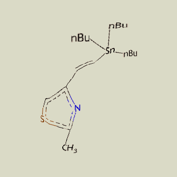 CCC[CH2][Sn](/[CH]=C/c1csc(C)n1)([CH2]CCC)[CH2]CCC